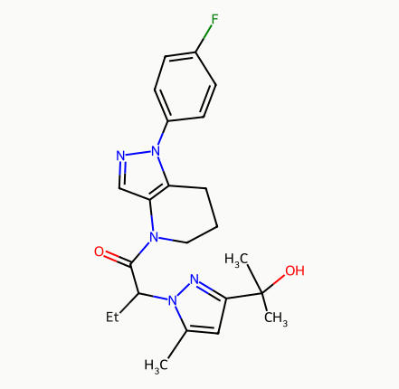 CCC(C(=O)N1CCCc2c1cnn2-c1ccc(F)cc1)n1nc(C(C)(C)O)cc1C